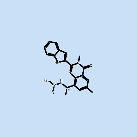 Cc1cc([C@@H](C)N[S+]([O-])C(C)(C)C)c2nc(-c3cc4ccccc4[nH]3)n(C)c(=O)c2c1